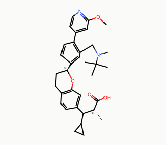 COc1cc(-c2ccc([C@@H]3CCc4ccc(C(C5CC5)[C@@H](C)C(=O)O)cc4O3)cc2CN(C)C(C)(C)C)ccn1